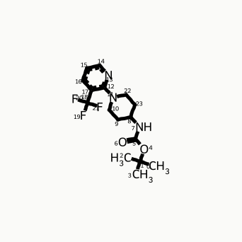 CC(C)(C)OC(=O)NC1CCN(c2ncccc2C(F)(F)F)CC1